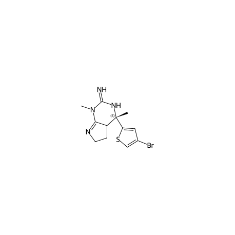 CN1C(=N)N[C@](C)(c2cc(Br)cs2)C2CCN=C21